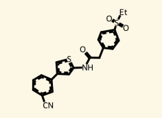 CCS(=O)(=O)c1ccc(CC(=O)Nc2cc(-c3cccc(C#N)c3)cs2)cc1